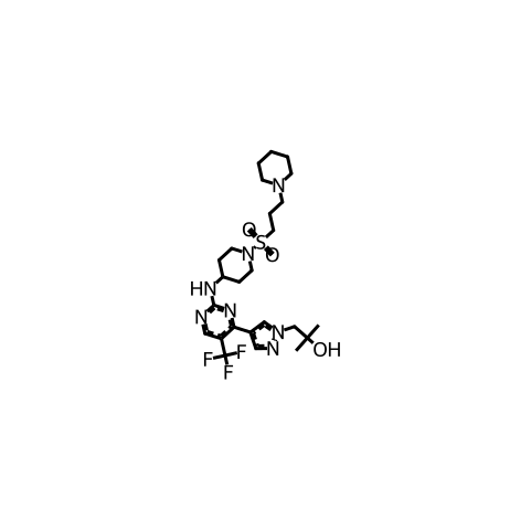 CC(C)(O)Cn1cc(-c2nc(NC3CCN(S(=O)(=O)CCCN4CCCCC4)CC3)ncc2C(F)(F)F)cn1